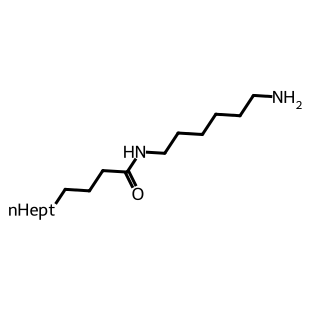 CCCCCCCCCCC(=O)NCCCCCCN